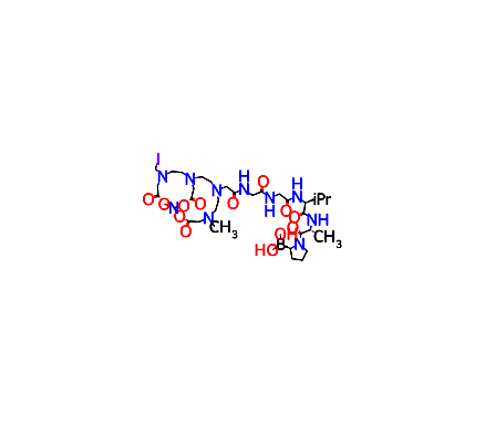 CC(C)[C@H](NC(=O)CNC(=O)CNC(=O)CN1CCN(C)CC(=O)ON2OC(=O)CN(CI)CCN(CC1)CC(=O)O2)C(=O)N[C@H](C)C(=O)N1CCC[C@H]1B(O)O